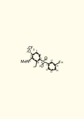 CNc1c(OC(F)(F)F)ccc(S(=O)(=O)c2cccc(F)c2)c1C